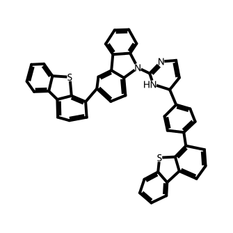 C1=CC(c2ccc(-c3cccc4c3sc3ccccc34)cc2)NC(n2c3ccccc3c3cc(-c4cccc5c4sc4ccccc45)ccc32)=N1